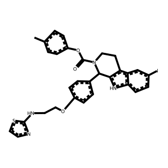 Cc1ccc(OC(=O)N2CCc3c([nH]c4ccc(I)cc34)C2c2ccc(OCCNc3nccs3)cc2)cc1